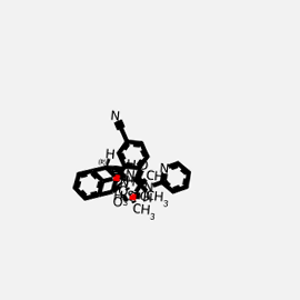 CC(C)(C)NS(=O)(=O)c1c2cccc1[C@@H]1C[N@@+](C(=O)Nc3ccccn3)(S(C)(=O)=O)C2[C@H]1c1cccc(C#N)c1